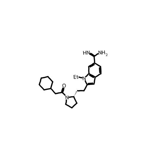 CCn1c(CC[C@@H]2CCCN2C(=O)CC2CCCCC2)cc2ccc(C(=N)N)cc21